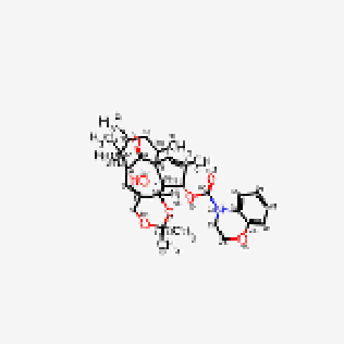 CC1=CC23C(=O)[C@@H](C=C4COC(C)(C)O[C@H]4[C@]2(O)[C@H]1OC(=O)N1CCOc2ccccc21)C(C)(C)[C@@H](C)CC3C